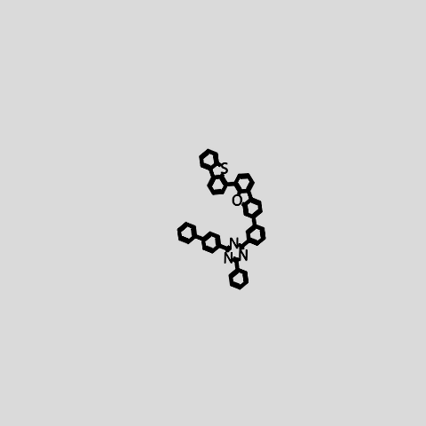 c1ccc(-c2ccc(-c3nc(-c4ccccc4)nc(-c4cccc(-c5ccc6c(c5)oc5c(-c7cccc8c7sc7ccccc78)cccc56)c4)n3)cc2)cc1